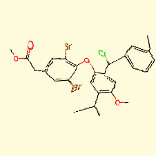 COC(=O)Cc1cc(Br)c(Oc2cc(C(C)C)c(OC)cc2C(Cl)c2cccc(C)c2)c(Br)c1